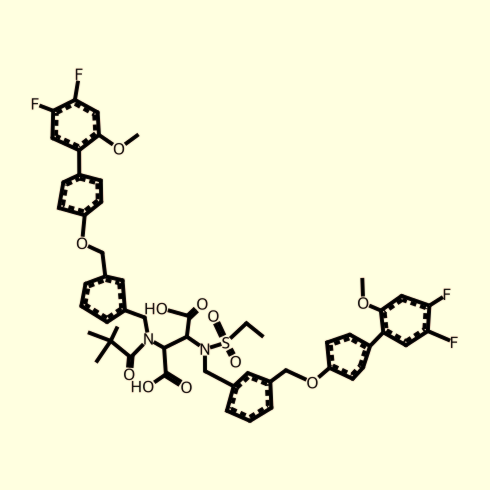 CCS(=O)(=O)N(Cc1cccc(COc2ccc(-c3cc(F)c(F)cc3OC)cc2)c1)C(C(=O)O)C(C(=O)O)N(Cc1cccc(COc2ccc(-c3cc(F)c(F)cc3OC)cc2)c1)C(=O)C(C)(C)C